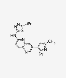 CC(C)c1nnc(Nc2ccc3ncc(-c4cn(C)nc4C(C)C)cc3n2)s1